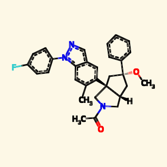 CO[C@]1(c2ccccc2)C[C@@H]2CN(C(C)=O)C[C@]2(c2cc3cnn(-c4ccc(F)cc4)c3cc2C)C1